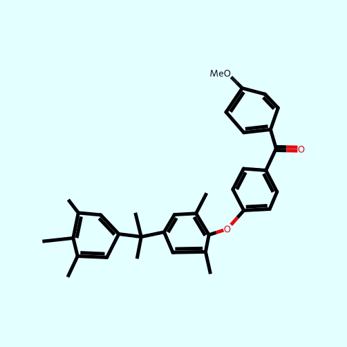 COc1ccc(C(=O)c2ccc(Oc3c(C)cc(C(C)(C)c4cc(C)c(C)c(C)c4)cc3C)cc2)cc1